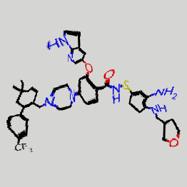 CC1(C)CCC(CN2CCN(c3ccc(C(=O)NSc4ccc(NCC5CCOC5)c(N)c4)c(Oc4cnc5[nH]ccc5c4)c3)CC2)=C(c2ccc(C(F)(F)F)cc2)C1